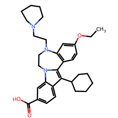 CCOc1ccc2c(c1)N(CCN1CCCCC1)CCn1c-2c(C2CCCCC2)c2ccc(C(=O)O)cc21